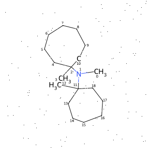 CN(C1(C)CCCCCCC1)C1(C)CCCCCC1